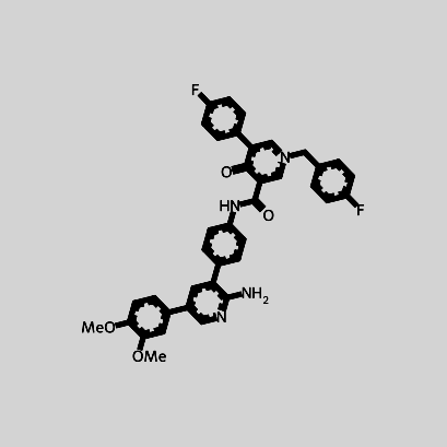 COc1ccc(-c2cnc(N)c(-c3ccc(NC(=O)c4cn(Cc5ccc(F)cc5)cc(-c5ccc(F)cc5)c4=O)cc3)c2)cc1OC